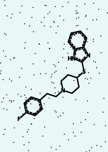 Fc1ccc(CCN2CCC(Sc3nc4ccccc4[nH]3)CC2)cc1